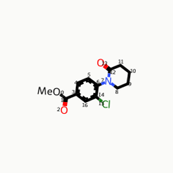 COC(=O)c1ccc(N2CCCCC2=O)c(Cl)c1